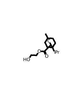 CC(C)C12CCC(C)(CC1)CC2C(=O)OCCO